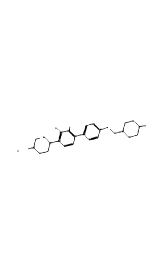 CCCC1CCC(c2ccc(-c3ccc(CCC4CCC(CC)CC4)cc3)c(F)c2Cl)CC1